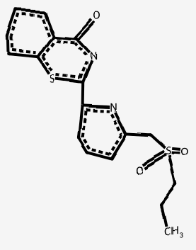 CCCS(=O)(=O)Cc1cccc(-c2nc(=O)c3ccccc3s2)n1